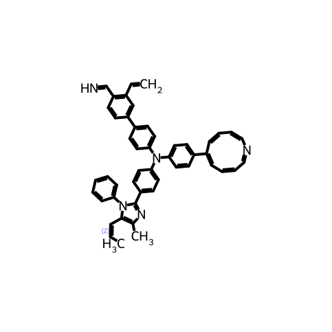 C=Cc1cc(-c2ccc(N(c3ccc(-c4ccccncccc4)cc3)c3ccc(-c4nc(C)c(/C=C\C)n4-c4ccccc4)cc3)cc2)ccc1C=N